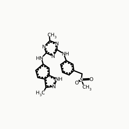 Cc1nc(Nc2cccc(CS(C)(=O)=O)c2)nc(Nc2ccc3c(C)n[nH]c3c2)n1